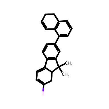 CC1(C)c2cc(-c3cccc4c3C=CCC4)ccc2C2=CC=C(I)CC21